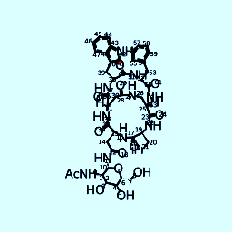 CC(=O)N[C@@H]1[C@@H](O)[C@H](O)[C@@H](CO)O[C@H]1NC(=O)C[C@@H]1NC(=O)[C@H](CC(C)C)NC(=O)[C@@H]2CNC(=O)C[C@H](NC1=O)C(=O)N[C@@H](Cc1c[nH]c3ccccc13)C(=O)N[C@@H](Cc1ccccc1)C(=O)N2